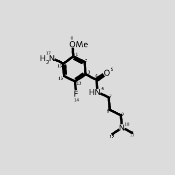 COc1cc(C(=O)NCCCN(C)C)c(F)cc1N